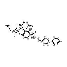 C[C@@H]1N(CC2CC2)CC12Cc1ccc(C(=O)NCCc3ccc(-c4ccccc4)cc3)c(O)c1[C@]1(CC(=O)CC[C@@H]1O)C2